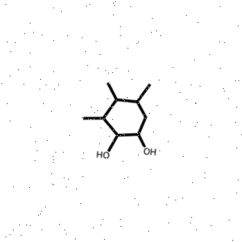 CC1CC(O)C(O)C(C)C1C